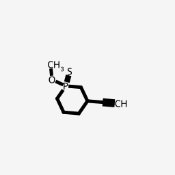 C#CC1CCCP(=S)(OC)C1